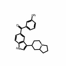 CCCc1cccc(C(=O)c2ccc3[nH]cc(C4CCN5CCCC5C4)c3c2)c1